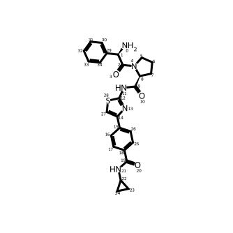 N[C@@H](C(=O)N1CCC[C@H]1C(=O)Nc1nc(-c2ccc(C(=O)NC3CC3)cc2)cs1)c1ccccc1